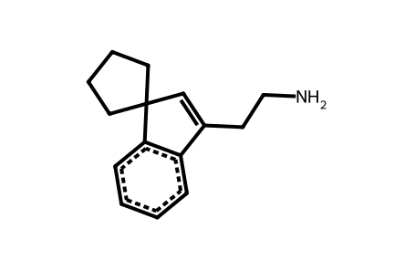 NCCC1=CC2(CCCC2)c2ccccc21